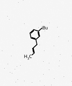 CC=CCc1cccc(C(C)CC)c1